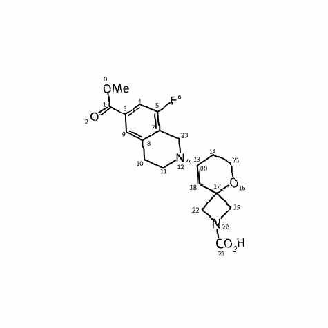 COC(=O)c1cc(F)c2c(c1)CCN([C@@H]1CCOC3(C1)CN(C(=O)O)C3)C2